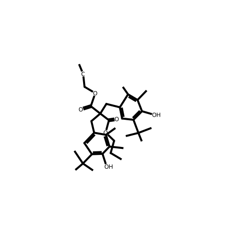 CCCOC(=O)C(Cc1cc(C(C)(C)C)c(O)c(C)c1C)(Cc1cc(C(C)(C)C)c(O)c(C)c1C)C(=O)OCCC